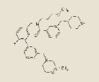 COCCCN(Cc1ccc(F)c(-c2cccc(CN3CCN[C@@H](C)C3)c2)c1)C(=O)c1cccc(CC2CCNCC2)c1